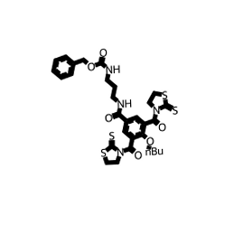 CCCCOc1c(C(=O)N2CCSC2=S)cc(C(=O)NCCCNC(=O)OCc2ccccc2)cc1C(=O)N1CCSC1=S